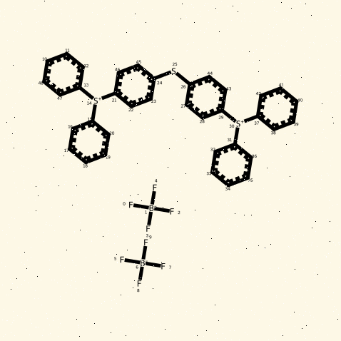 F[B-](F)(F)F.F[B-](F)(F)F.c1ccc([S+](c2ccccc2)c2ccc(Sc3ccc([S+](c4ccccc4)c4ccccc4)cc3)cc2)cc1